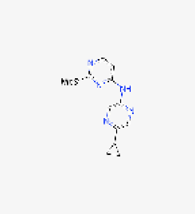 CSc1nccc(Nc2cnc(C3CC3)cn2)n1